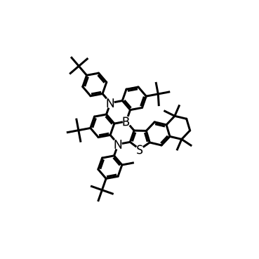 Cc1cc(C(C)(C)C)ccc1N1c2cc(C(C)(C)C)cc3c2B(c2cc(C(C)(C)C)ccc2N3c2ccc(C(C)(C)C)cc2)c2c1sc1cc3c(cc21)C(C)(C)CCC3(C)C